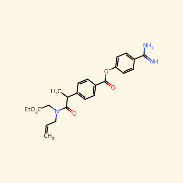 C=CCN(CC(=O)OCC)C(=O)C(C)c1ccc(C(=O)Oc2ccc(C(=N)N)cc2)cc1